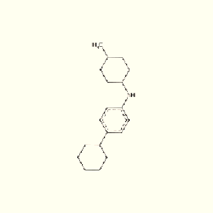 CC1CCC(Nc2ccc(C3CCCCC3)cc2)CC1